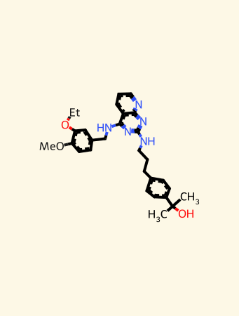 CCOc1cc(CNc2nc(NCCCc3ccc(C(C)(C)O)cc3)nc3ncccc23)ccc1OC